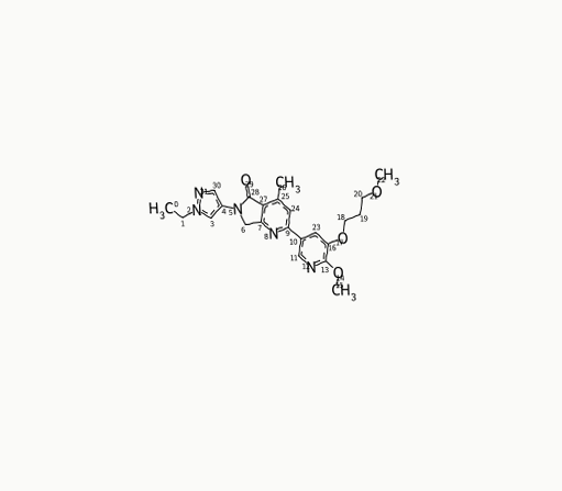 CCn1cc(N2Cc3nc(-c4cnc(OC)c(OCCCOC)c4)cc(C)c3C2=O)cn1